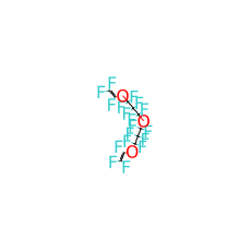 FC(F)=C(F)OC(F)(F)C(F)(F)C(F)(F)OC(F)(F)C(F)(F)C(F)(F)OC(F)=C(F)F